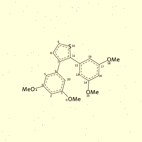 COc1cc(OC)cc(-c2ccsc2-c2cc(OC)cc(OC)c2)c1